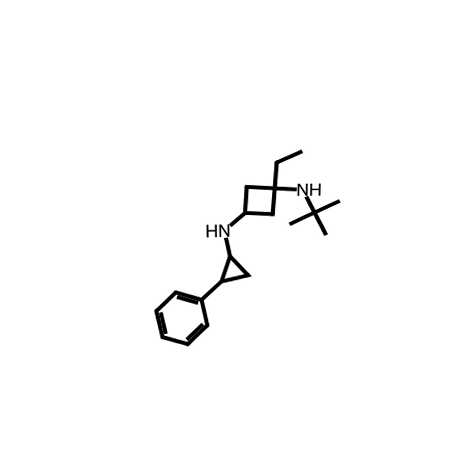 CCC1(NC(C)(C)C)CC(NC2CC2c2ccccc2)C1